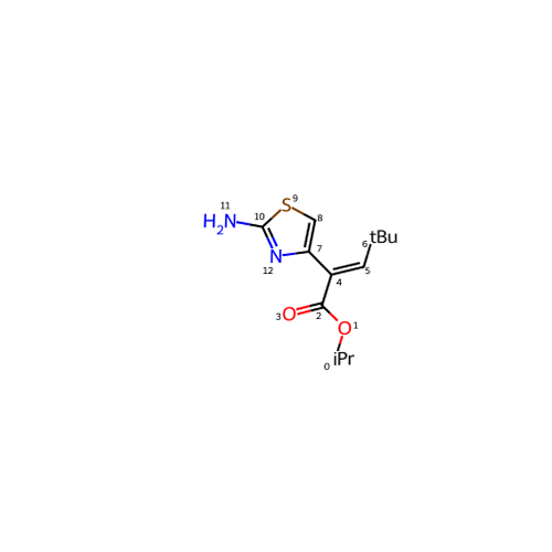 CC(C)OC(=O)/C(=C/C(C)(C)C)c1csc(N)n1